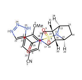 COc1ccc(C#N)cc1S(=O)(=O)N1[C@@H]2CC[C@H]1[C@@H]1CN(C(=O)c3cnn[nH]3)C[C@@H]12